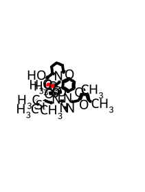 COc1cccc(OC)c1-n1c(-c2ccc(C)o2)nnc1N(CC[Si](C)(C)C)S(=O)(=O)[C@H](C)CN1C(=O)CCCC1C(=O)O